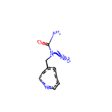 NC(=O)N(N)Cc1cccnc1